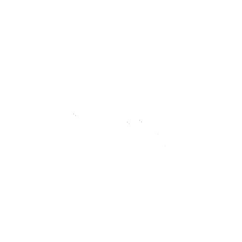 Cc1cc(C(=O)O)nn1-c1cccc(C#N)c1